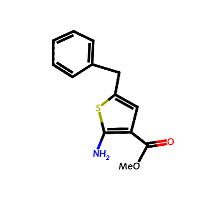 COC(=O)c1cc(Cc2ccccc2)sc1N